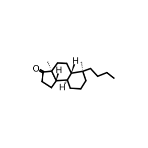 CCCC[C@@]1(C)CCC[C@@H]2[C@@H]1CC[C@]1(C)C(=O)CC[C@@H]21